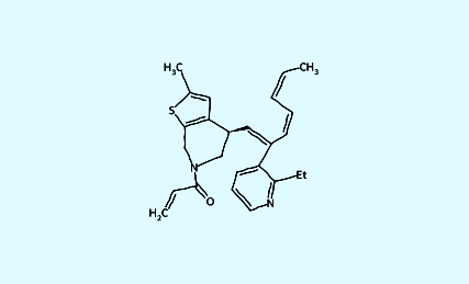 C=CC(=O)N1Cc2sc(C)cc2[C@@H](/C=C(/C=C\C=C/C)c2cccnc2CC)C1